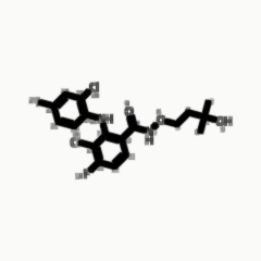 CC(C)(O)CCONC(=O)c1ccc(F)c(Cl)c1Nc1ccc(I)cc1Cl